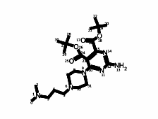 CN(C)CCCN1CCN(c2nc(N)nc(C(=O)OC(C)(C)C)c2C(=O)OC(C)(C)C)CC1